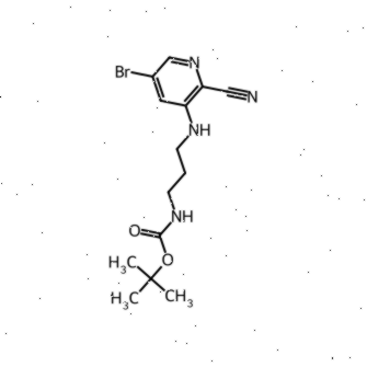 CC(C)(C)OC(=O)NCCCNc1cc(Br)cnc1C#N